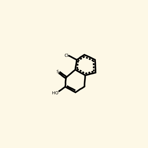 OC1=CCc2cccc(Cl)c2C1=S